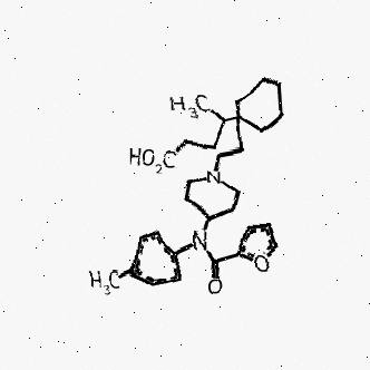 Cc1ccc(N(C(=O)c2ccco2)C2CCN(CCC3(C(C)CCC(=O)O)CCCCC3)CC2)cc1